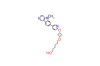 Cn1c2ccncc2c2ccc(-c3ccc(O[C@H]4C[C@H](OCCCCCCO)C4)nc3)cc21